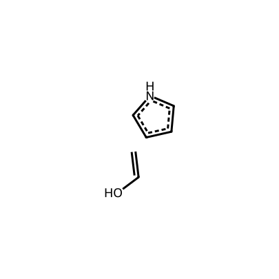 C=CO.c1cc[nH]c1